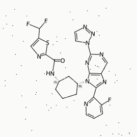 O=C(N[C@H]1CCC[C@@H](n2c(-c3ncccc3F)nc3cnc(-n4ccnn4)nc32)C1)c1ncc(C(F)F)s1